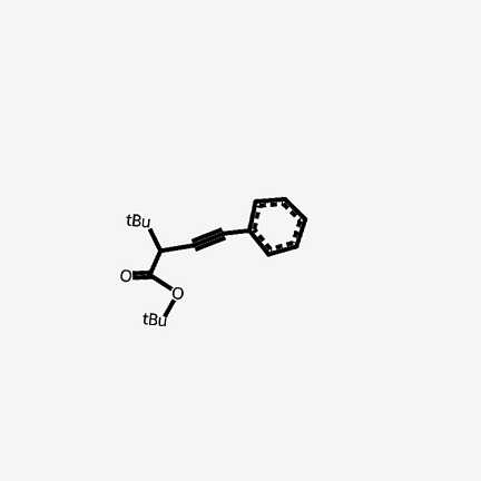 CC(C)(C)OC(=O)C(C#Cc1ccccc1)C(C)(C)C